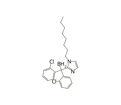 BC(c1ccccc1Cl)(c1ccccc1Cl)c1nccn1CCCCCCCC